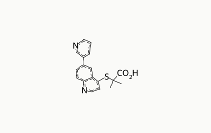 CC(C)(Sc1ccnc2ccc(-c3cccnc3)cc12)C(=O)O